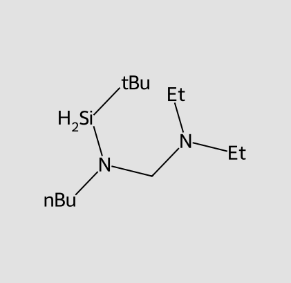 CCCCN(CN(CC)CC)[SiH2]C(C)(C)C